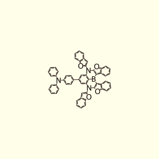 c1ccc(N(c2ccccc2)c2ccc(-c3cc4c5c(c3)N(c3cc6ccccc6o3)c3oc6ccccc6c3B5c3c(oc5ccccc35)N4c3cc4ccccc4o3)cc2)cc1